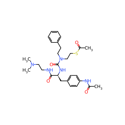 CC(=O)Nc1ccc(C[C@H](NC(=O)N(CCSC(C)=O)CCc2ccccc2)C(=O)NCCN(C)C)cc1